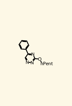 CCCCCOc1nncc(-c2ccccc2)n1